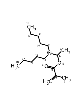 C=C(C)C(=O)OC(C)N(CCCCC)CCCCC